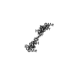 COC(=O)N[C@H](C(=O)N1CCC[C@H]1c1ncc(-c2ccc(C#Cc3ccc4nc([C@@H]5CCCN5C(=O)[C@@H](NC(=O)OC)C(C)C)[nH]c4n3)cc2)[nH]1)C(C)C